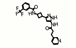 O=C(CCc1cccnc1)Nc1cc(C2CC(NC(=O)c3cccc(C(F)(F)F)c3)C2)n[nH]1